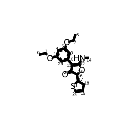 CCOc1cc(OCC)cc(C2=C(NC)OC(C3CC=CS3)C2=O)c1